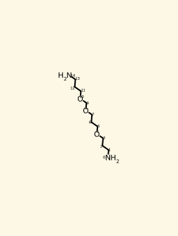 NCCCOCCCOCOCCCN